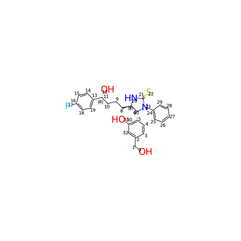 OCc1ccc([C@@H]2[C@@H](CCC[C@@H](O)c3ccc(F)cc3)NC(=S)N2c2ccccc2)c(O)c1